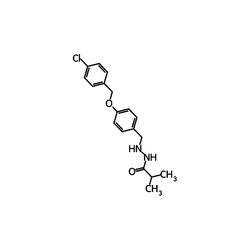 CC(C)C(=O)NNCc1ccc(OCc2ccc(Cl)cc2)cc1